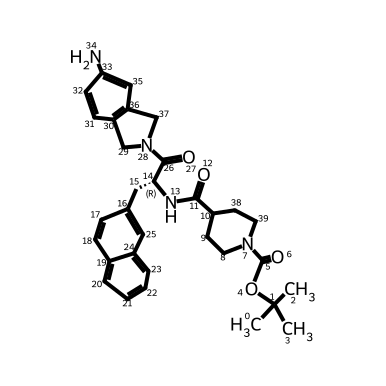 CC(C)(C)OC(=O)N1CCC(C(=O)N[C@H](Cc2ccc3ccccc3c2)C(=O)N2Cc3ccc(N)cc3C2)CC1